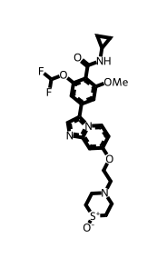 COc1cc(-c2cnc3cc(OCCN4CC[S+]([O-])CC4)ccn23)cc(OC(F)F)c1C(=O)NC1CC1